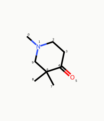 CN1CCC(=O)C(C)(C)C1